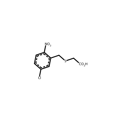 O=C(O)CSCc1cc(Cl)ccc1[N+](=O)[O-]